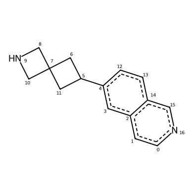 c1cc2cc(C3CC4(CNC4)C3)ccc2cn1